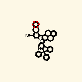 N#Cc1cc2c(c3c1C1c4ccccc4C3c3ccccc31)c1c3c4c(c5c6c7c(ncc6n2c51)C(c1ccccc1)(c1ccccc1)c1ccccc1-7)CCc1cccc(c1-4)CC3